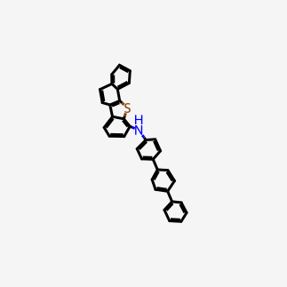 c1ccc(-c2ccc(-c3ccc(Nc4cccc5c4sc4c6ccccc6ccc54)cc3)cc2)cc1